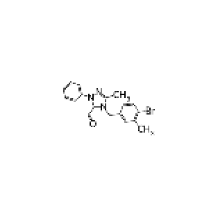 CC1=NN(c2ccccc2)C(C=O)N1Cc1ccc(Br)c(C)c1